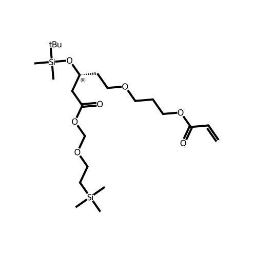 C=CC(=O)OCCCOCC[C@H](CC(=O)OCOCC[Si](C)(C)C)O[Si](C)(C)C(C)(C)C